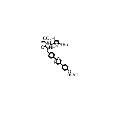 CCCCCCCCOc1ccc(-c2cnc(-c3ccc(C[C@H](NC(=O)c4ccc(C(C)(C)C)s4)C(=O)N[C@H](C)C(=O)O)cc3)nc2)cc1